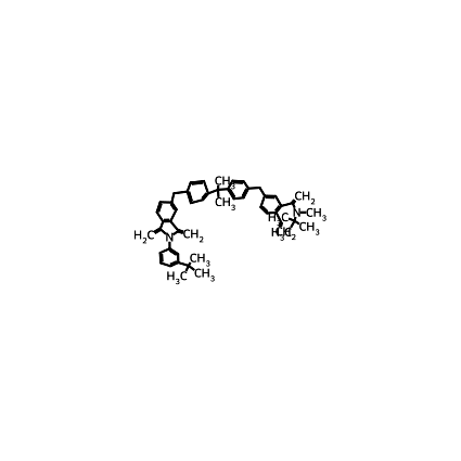 C=Cc1ccc(Cc2ccc(C(C)(C)c3ccc(Cc4ccc5c(=C)n(-c6cccc(C(C)(C)C)c6)c(=C)c5c4)cc3)cc2)cc1C(=C)N(C)C(C)(C)C